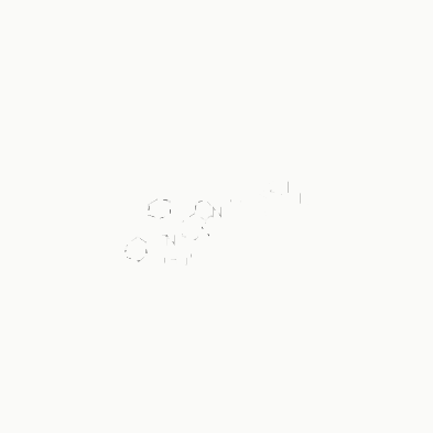 CC(C)(C)Oc1nc2c(ccn2COCC[Si](C)(C)C)cc1N=C(c1ccccc1)c1ccccc1